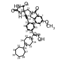 COc1ccc2c(c1)C(=O)N(C[C@@]1(C#Cc3ccc(C(=NO)N4CCN(C5CCCCCC5)CC4)cc3)NC(=O)NC1=O)C2